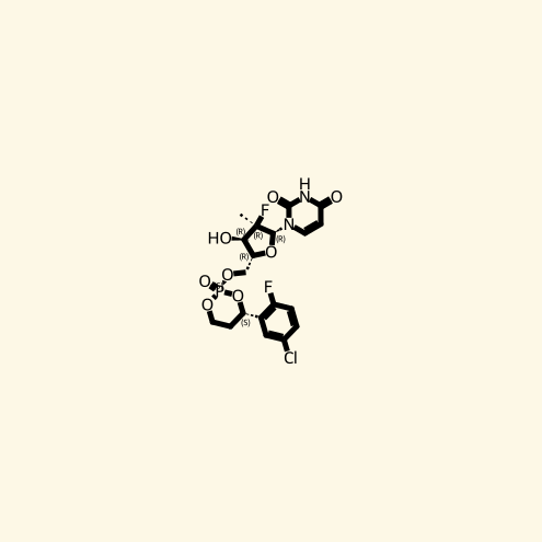 C[C@@]1(F)[C@H](O)[C@@H](CO[P@]2(=O)OCC[C@@H](c3cc(Cl)ccc3F)O2)O[C@H]1n1ccc(=O)[nH]c1=O